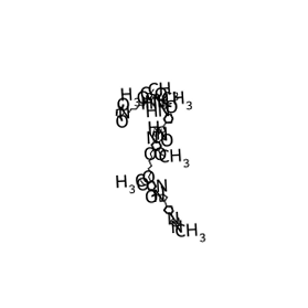 COc1cc2c(cc1OCCCCCOc1cc3c(cc1OC)C(=O)N1C=C(c4cccc(NC(=O)[C@H](C)NC(=O)C(NC(=O)CCCCCN5C(=O)C=CC5=O)C(C)C)c4)C[C@H]1C=N3)N=CC1CC(c3ccc(N4CCN(C)CC4)cc3)=CN1C2=O